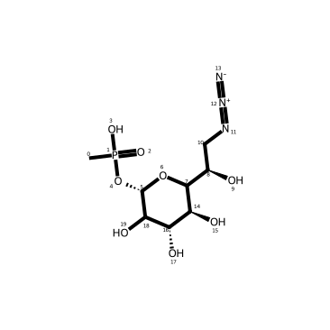 CP(=O)(O)O[C@@H]1OC([C@H](O)CN=[N+]=[N-])[C@@H](O)[C@H](O)C1O